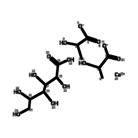 CC(O)C(=O)[O-].CC(O)C(=O)[O-].O=C(O)C(O)C(O)C(O)C(O)CO.[Ca+2]